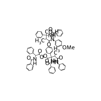 CC(C(=O)Nc1ccccc1)C(NC(=O)c1ccccc1)(C(=O)OOC(=O)C(NC(=O)c1ccccc1)c1ccccc1)c1ccccc1.COc1ccc(NC(=O)C(C)C(NC(=O)c2ccccc2)(C(=O)O)c2ccccc2)cc1